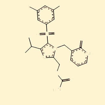 CC(C)c1nc(COC(N)=O)n(Cc2ccc[nH]c2=O)c1S(=O)(=O)c1cc(Cl)cc(Cl)c1